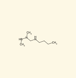 CBN(C)CNCCCC